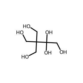 OCC(O)(O)C(CO)(CO)CO